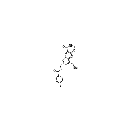 CCC(C)Cc1cc(/C=C/C(=O)c2ccc(C)cc2)cc2cc(C(N)=O)c(=O)oc12